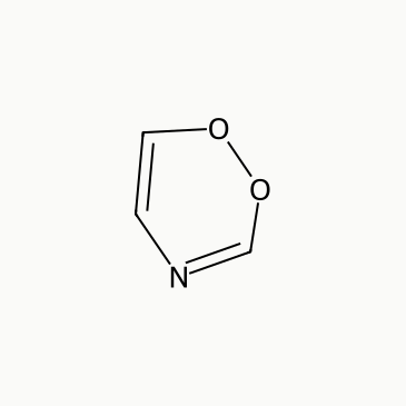 C1=COOC=N1